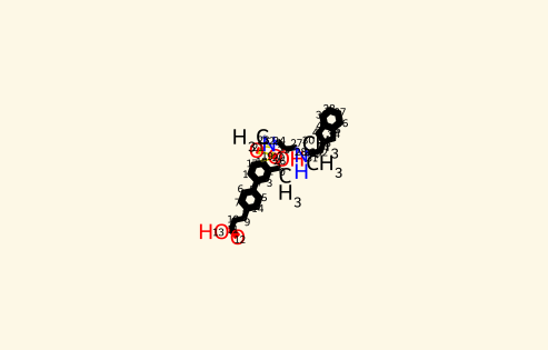 CCc1cc(-c2ccc(CCC(=O)O)cc2)ccc1S(=O)(=O)N(C)CC(O)CNC(C)(C)CC1Cc2ccccc2C1